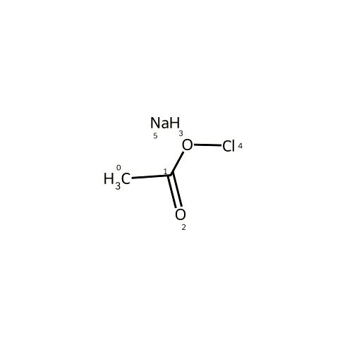 CC(=O)OCl.[NaH]